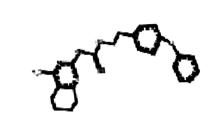 Cc1nc(NC(=N)NCCc2ccc(Oc3ccccc3)cc2)nc2c1CCCC2